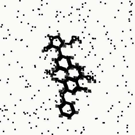 CC[C@H]1COC(=O)N1c1nc(C)nc(N[C@@H](C)c2cc(F)c(Oc3ccccc3)cc2F)n1